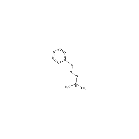 C[SiH](C)ON=Cc1ccccc1